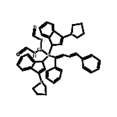 O=C[NH][Ga]([NH]C=O)[Zr]([C](=CC=Cc1ccccc1)c1ccccc1)([CH]1C=C(N2CCCC2)c2ccccc21)[CH]1C=C(N2CCCC2)c2ccccc21